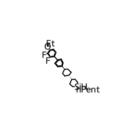 CCCCC[SiH]1CCC([C@H]2CC[C@H](c3ccc(-c4ccc(OCC)c(F)c4F)cc3)CC2)CC1